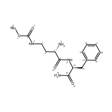 CC(C)(C)OC(=O)NCC[C@H](N)C(=O)N[C@@H](Cc1ccccc1)C(N)=O